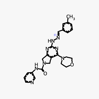 Cc1cccc(/C=N/Nc2nc3c(c(N4CCOCC4)n2)CN(C(=O)Nc2cccnc2)C3)c1